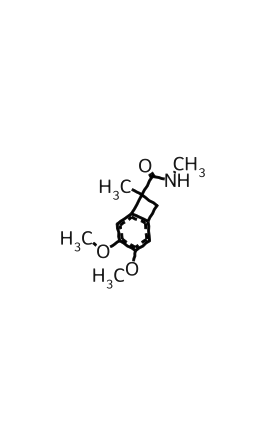 CNC(=O)C1(C)Cc2cc(OC)c(OC)cc21